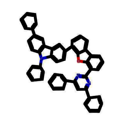 c1ccc(-c2ccc3c(c2)c2cc(-c4cccc5c4oc4c(-c6nc(-c7ccccc7)cc(-c7ccccc7)n6)cccc45)ccc2n3-c2ccccc2)cc1